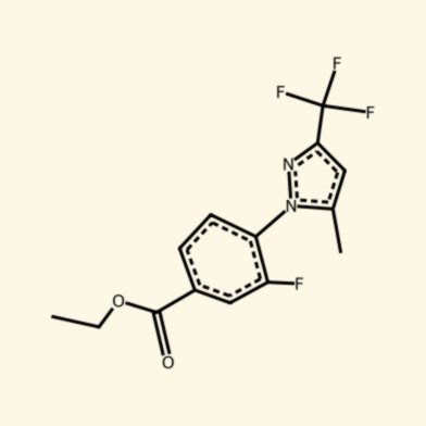 CCOC(=O)c1ccc(-n2nc(C(F)(F)F)cc2C)c(F)c1